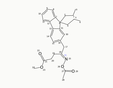 CCCC1(CCC)c2ccccc2-c2ccc(C/C(CCC(=O)OC)=N/OC(C)=O)cc21